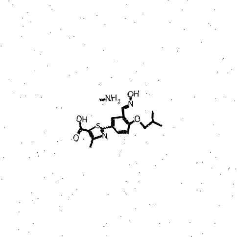 CN.Cc1nc(-c2ccc(OCC(C)C)c(C=NO)c2)sc1C(=O)O